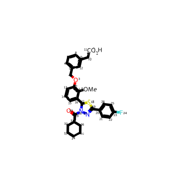 COc1c(OCc2cccc(CC(=O)O)c2)cccc1C1SC(c2ccc(F)cc2)=NN1C(=O)C1CCCCC1